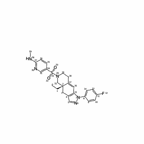 CC[C@]12Cc3cnn(-c4ccc(F)cc4)c3C=C1CCN(S(=O)(=O)c1ccc(NC)nc1)C2